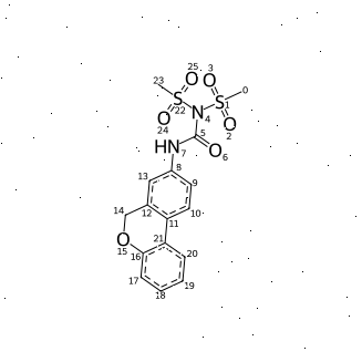 CS(=O)(=O)N(C(=O)Nc1ccc2c(c1)COc1ccccc1-2)S(C)(=O)=O